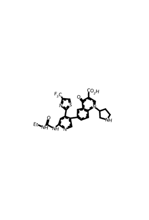 CCNC(=O)Nc1cc(-c2nc(C(F)(F)F)cs2)c(-c2ccc3c(c2)c(=O)c(C(=O)O)cn3C2CCNC2)cn1